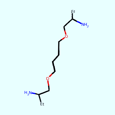 CCC(N)COCCCCOCC(N)CC